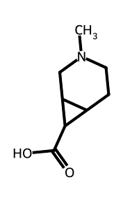 CN1CCC2C(C1)C2C(=O)O